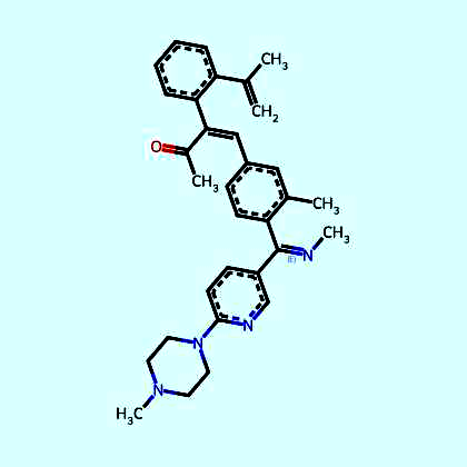 C=C(C)c1ccccc1C(=Cc1ccc(/C(=N\C)c2ccc(N3CCN(C)CC3)nc2)c(C)c1)C(C)=O